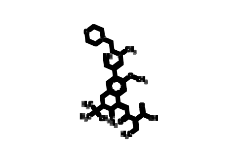 C=C1/C(=C\C(=O)/C(=C\C)C(=O)O)c2cc(OC)c(/C(C=N)=C/N(C)CCN3CCOCC3)cc2CC1C(C)(C)C